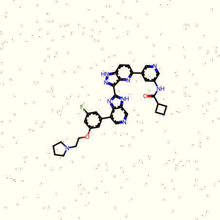 O=C(Nc1cncc(-c2ccc3[nH]nc(-c4nc5c(-c6cc(F)cc(OCCN7CCCC7)c6)cncc5[nH]4)c3n2)c1)C1CCC1